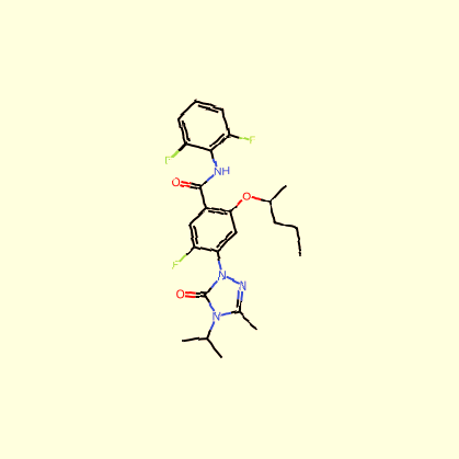 CCCC(C)Oc1cc(-n2nc(C)n(C(C)C)c2=O)c(F)cc1C(=O)Nc1c(F)cccc1F